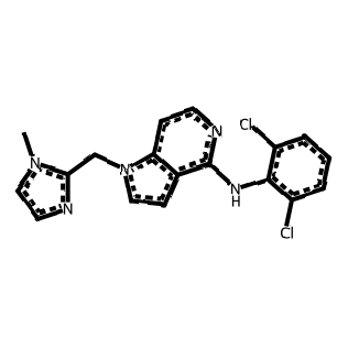 Cn1ccnc1Cn1ccc2c(Nc3c(Cl)cccc3Cl)nccc21